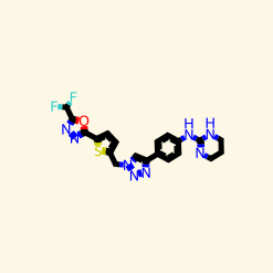 FC(F)c1nnc(-c2ccc(Cn3cc(-c4ccc(NC5=NCCCN5)cc4)nn3)s2)o1